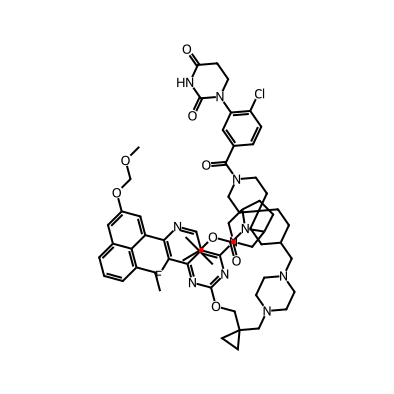 CCc1cccc2cc(OCOC)cc(-c3ncc4c(N5CC6CCC(C5)N6C(=O)OC(C)(C)C)nc(OCC5(CN6CCN(CC7CCC8(CC7)CCN(C(=O)c7ccc(Cl)c(N9CCC(=O)NC9=O)c7)CC8)CC6)CC5)nc4c3F)c12